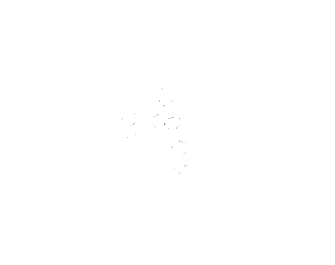 Cc1ccc(F)cc1Oc1cc(N(CC(F)F)C(=O)O)c2ncc(-c3ccc(C(=O)NC4CC4)c(C)c3)n2c1